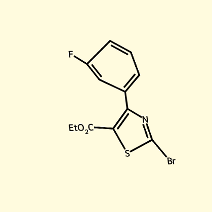 CCOC(=O)c1sc(Br)nc1-c1cccc(F)c1